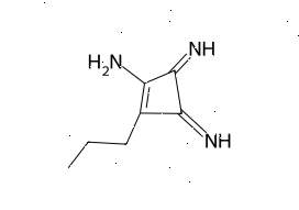 CCCc1c(N)c(=N)c1=N